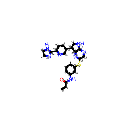 C=CC(=O)Nc1cccc(Sc2cnc3[nH]cc(-c4ccc(-c5ncc[nH]5)nc4)c3n2)c1